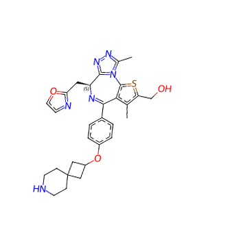 Cc1c(CO)sc2c1C(c1ccc(OC3CC4(CCNCC4)C3)cc1)=N[C@@H](Cc1ncco1)c1nnc(C)n1-2